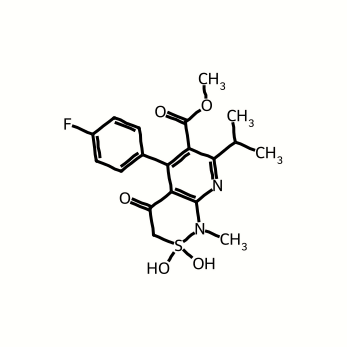 COC(=O)c1c(C(C)C)nc2c(c1-c1ccc(F)cc1)C(=O)CS(O)(O)N2C